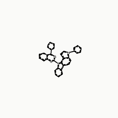 c1ccc(-c2nc(-n3c4ccccc4c4ccc5c(ccn5-c5ccccc5)c43)nc3ccccc23)cc1